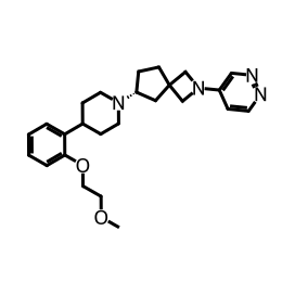 COCCOc1ccccc1C1CCN([C@@H]2CCC3(C2)CN(c2ccnnc2)C3)CC1